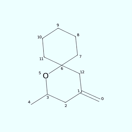 C=C1CC(C)OC2(CCCCC2)C1